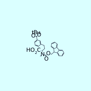 CN(C(=O)OCC1c2ccccc2-c2ccccc21)[C@@H](CCc1cccc(C(=O)OC(C)(C)C)c1)C(=O)O